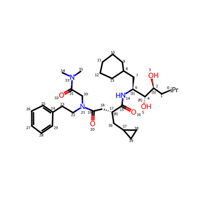 CC(C)C[C@H](O)[C@H](O)[C@H](CC1CCCCC1)NC(=O)[C@@H](CC(=O)N(CCc1ccccc1)CC(=O)N(C)C)CC1CC1